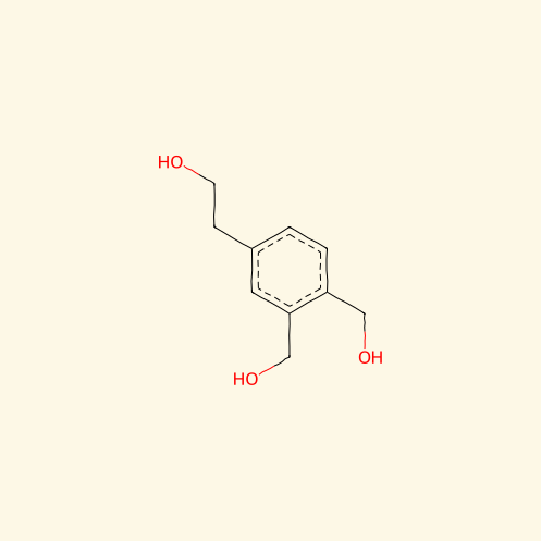 OCCc1ccc(CO)c(CO)c1